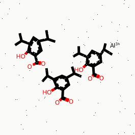 CC(C)c1cc(C(=O)[O-])c(O)c(C(C)C)c1.CC(C)c1cc(C(=O)[O-])c(O)c(C(C)C)c1.CC(C)c1cc(C(=O)[O-])c(O)c(C(C)C)c1.[Al+3]